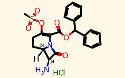 CS(=O)(=O)OC1=C(C(=O)OC(c2ccccc2)c2ccccc2)N2C(=O)[C@@H](N)[C@@H]2CC1.Cl